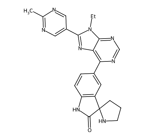 CCn1c(-c2cnc(C)nc2)nc2c(-c3ccc4c(c3)C3(CCCN3)C(=O)N4)ncnc21